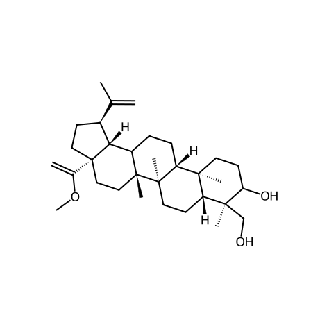 C=C(C)[C@@H]1CC[C@]2(C(=C)OC)CC[C@]3(C)C(CC[C@@H]4[C@@]5(C)CCC(O)[C@@](C)(CO)[C@@H]5CC[C@]43C)[C@@H]12